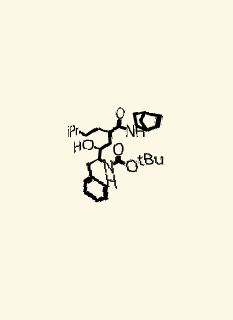 CC(C)CC[C@H](C[C@H](O)[C@H](Cc1ccccc1)NC(=O)OC(C)(C)C)C(=O)NC1CC2CCC1C2